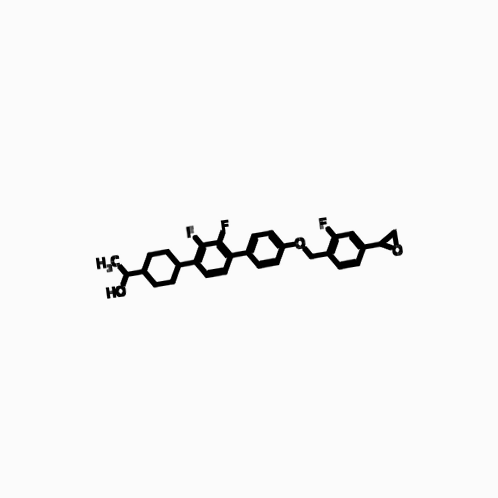 CC(O)C1CCC(c2ccc(-c3ccc(OCc4ccc(C5CO5)cc4F)cc3)c(F)c2F)CC1